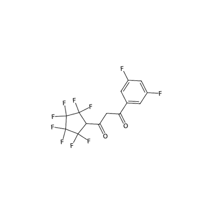 O=C(CC(=O)C1C(F)(F)C(F)(F)C(F)(F)C1(F)F)c1cc(F)cc(F)c1